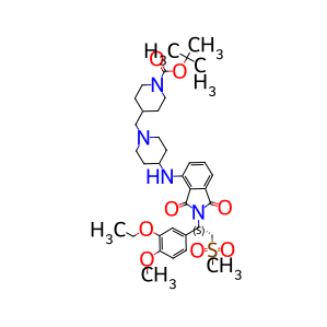 CCOc1cc([C@@H](CS(C)(=O)=O)N2C(=O)c3cccc(NC4CCN(CC5CCN(C(=O)OC(C)(C)C)CC5)CC4)c3C2=O)ccc1OC